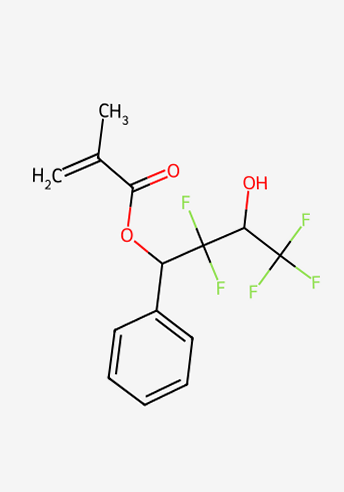 C=C(C)C(=O)OC(c1ccccc1)C(F)(F)C(O)C(F)(F)F